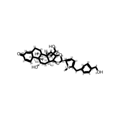 Cn1c(Cc2ccc(CO)cc2)ccc1[C@@H]1O[C@@H]2C[C@H]3[C@@H]4CCC5=CC(=O)C=C[C@]5(C)[C@@]4(F)[C@@H](O)C[C@]3(C)[C@]2(C(=O)CO)O1